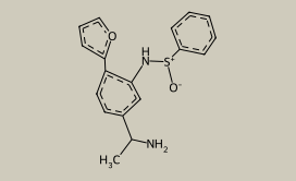 CC(N)c1ccc(-c2ccco2)c(N[S+]([O-])c2ccccc2)c1